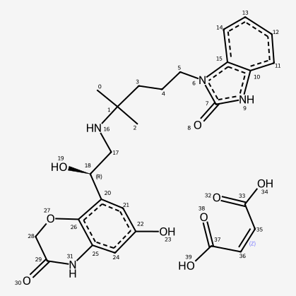 CC(C)(CCCn1c(=O)[nH]c2ccccc21)NC[C@H](O)c1cc(O)cc2c1OCC(=O)N2.O=C(O)/C=C\C(=O)O